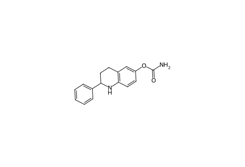 NC(=O)Oc1ccc2c(c1)CCC(c1ccccc1)N2